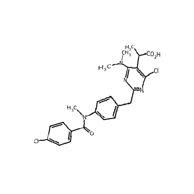 CC(C(=O)O)c1c(Cl)nc(Cc2ccc(N(C)C(=O)c3ccc(Cl)cc3)cc2)nc1N(C)C